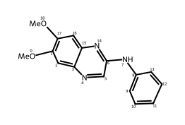 COc1cc2ncc(Nc3ccccc3)nc2cc1OC